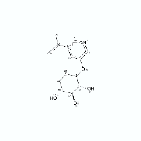 CC(=O)c1cncc(O[C@H]2SC[C@@H](O)[C@H](O)[C@H]2O)c1